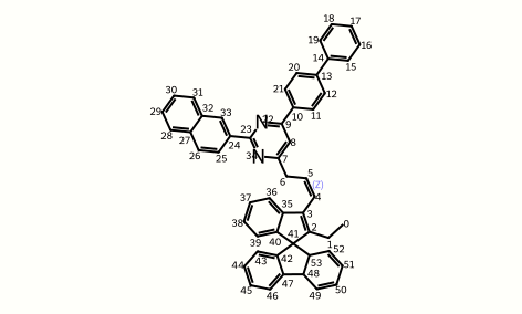 CCC1=C(/C=C\Cc2cc(-c3ccc(-c4ccccc4)cc3)nc(-c3ccc4ccccc4c3)n2)c2ccccc2C12c1ccccc1C1C=CC=CC12